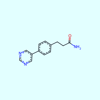 NC(=O)CCc1ccc(-c2cncnc2)cc1